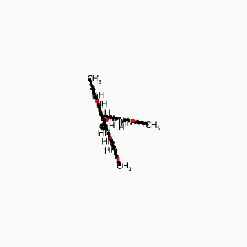 CCCCCCCCNCCCNCCCNCc1cccc(-c2cc(CNCCCNCCCNCCCCCCCC)cc(CNCCCNCCCNCCCCCCCC)c2)c1